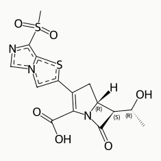 C[C@@H](O)[C@H]1C(=O)N2C(C(=O)O)=C(c3cn4cnc(S(C)(=O)=O)c4s3)C[C@H]12